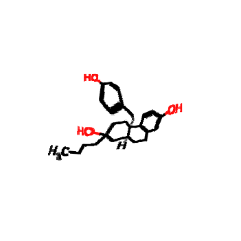 CCCCC1(O)CC[C@@]2(Cc3ccc(O)cc3)c3ccc(O)cc3CC[C@H]2C1